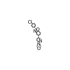 Clc1ccc(-c2nc3cc(-c4ccc(N5CCOCC5)nc4)ccc3o2)cc1